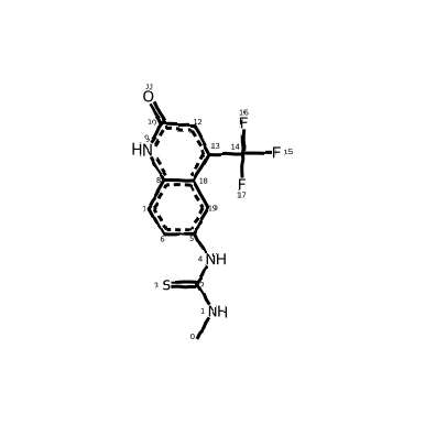 CNC(=S)Nc1ccc2[nH]c(=O)cc(C(F)(F)F)c2c1